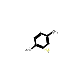 CC(=O)Oc1ccc(C)cc1.S